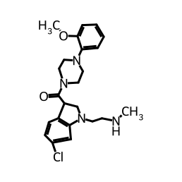 CNCCN1CC(C(=O)N2CCN(c3ccccc3OC)CC2)c2ccc(Cl)cc21